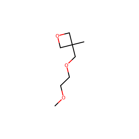 COCCOCC1(C)COC1